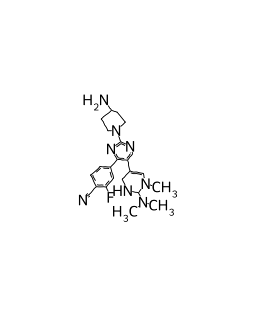 CN(C)C1NCC(c2cnc(N3CCC(N)CC3)nc2-c2ccc(C#N)c(F)c2)=CN1C